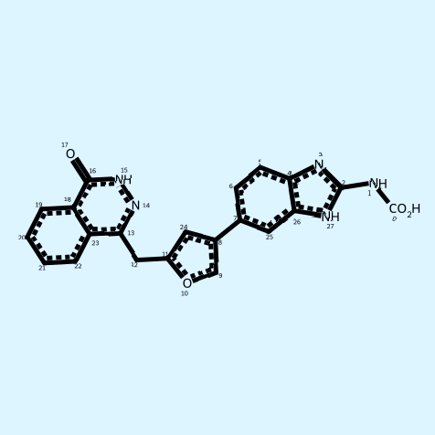 O=C(O)Nc1nc2ccc(-c3coc(Cc4n[nH]c(=O)c5ccccc45)c3)cc2[nH]1